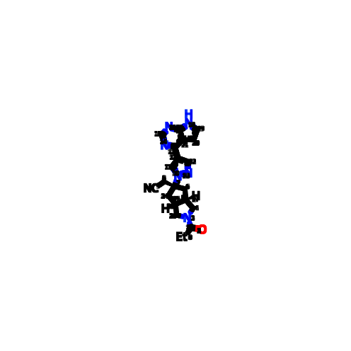 CCC(=O)N1C[C@@H]2C[C@@](CC#N)(n3cc(-c4ncnc5[nH]ccc45)cn3)C[C@@H]2C1